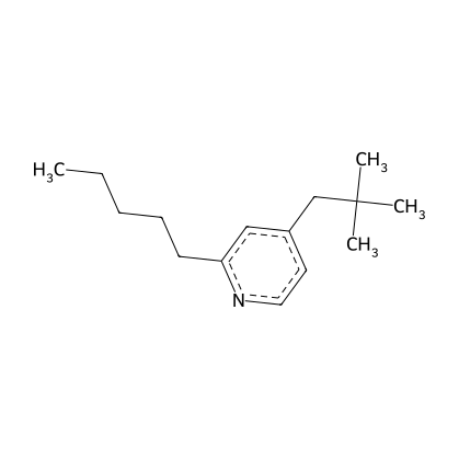 CCCCCc1cc(CC(C)(C)C)ccn1